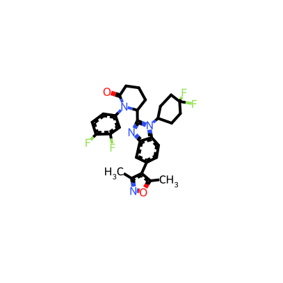 Cc1noc(C)c1-c1ccc2c(c1)nc(C1CCCC(=O)N1c1ccc(F)c(F)c1)n2C1CCC(F)(F)CC1